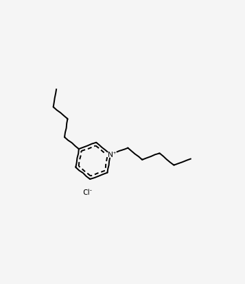 CCCCC[n+]1cccc(CCCC)c1.[Cl-]